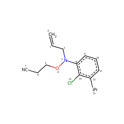 C=CCN(OCCC#N)c1cccc(C(C)C)c1Cl